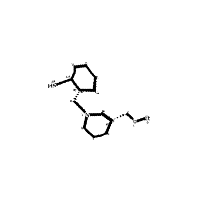 CCOC[C@@H]1CCCN(C[C@H]2CCCCC2S)C1